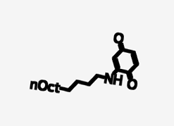 CCCCCCCCCCCCNC1=CC(=O)C=CC1=O